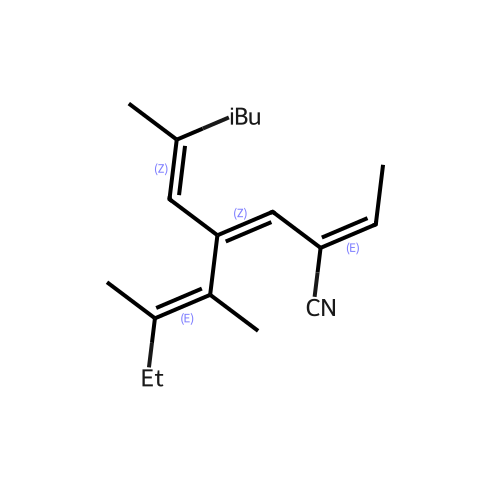 C\C=C(C#N)/C=C(/C=C(/C)C(C)CC)C(\C)=C(/C)CC